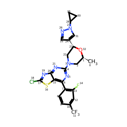 C[C@@H]1CN(c2nc(-c3ccc(C(F)(F)F)cc3F)c3sc(Cl)nc3n2)C[C@H](c2cnn(C3CC3)c2)O1